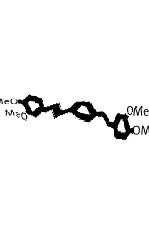 COc1ccc(CCc2ccc(CCc3ccc(OC)c(OC)c3)cc2)cc1OC